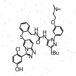 CN(C)CCOc1cccc(-n2nc(C(C)(C)C)cc2NC(=O)NCc2ccccc2Sc2ccc3nnc(-c4cc(O)ccc4Cl)n3c2)c1